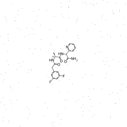 C[C@H](NC(=O)Cc1cc(F)cc(F)c1)C(=O)NC(C(N)=O)c1ccccn1